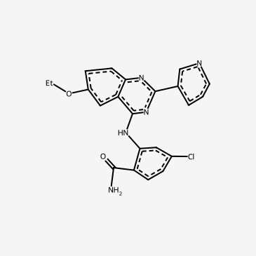 CCOc1ccc2nc(-c3cccnc3)nc(Nc3cc(Cl)ccc3C(N)=O)c2c1